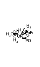 CCCC(C)(C)CON(CC(S)P=O)OCC(C)(C)CCC